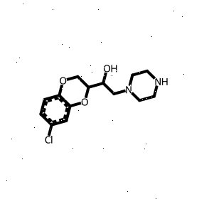 OC(CN1CCNCC1)C1COc2ccc(Cl)cc2O1